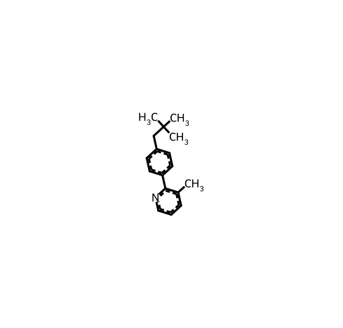 Cc1cccnc1-c1ccc(CC(C)(C)C)cc1